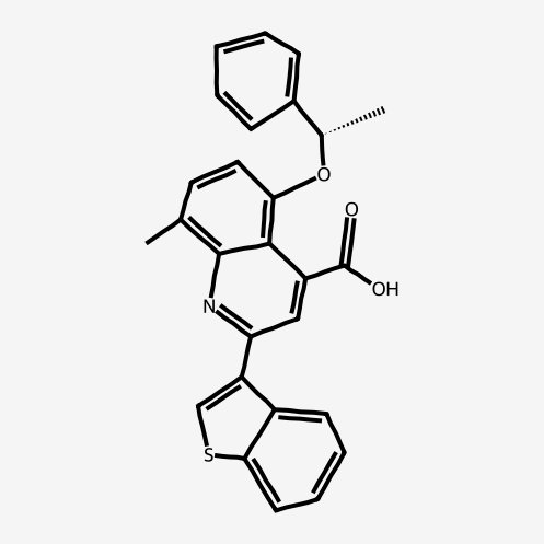 Cc1ccc(O[C@@H](C)c2ccccc2)c2c(C(=O)O)cc(-c3csc4ccccc34)nc12